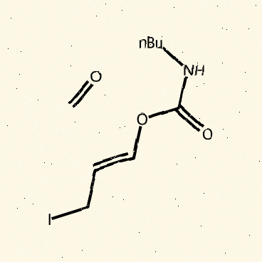 C=O.CCCCNC(=O)OC=CCI